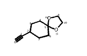 C#CC1CCC2(CC1)OCCO2